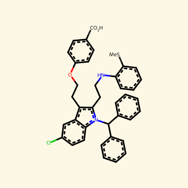 CSc1ccccc1NCCc1c(CCOc2ccc(C(=O)O)cc2)c2cc(Cl)ccc2n1C(c1ccccc1)c1ccccc1